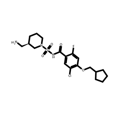 NC[C@H]1CCCN(S(=O)(=O)NC(=O)c2cc(Cl)c(OCC3CCCC3)cc2F)C1